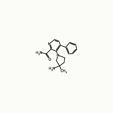 CC1(N)CCN(c2c(-c3ccccc3)ccnc2C(N)=O)C1